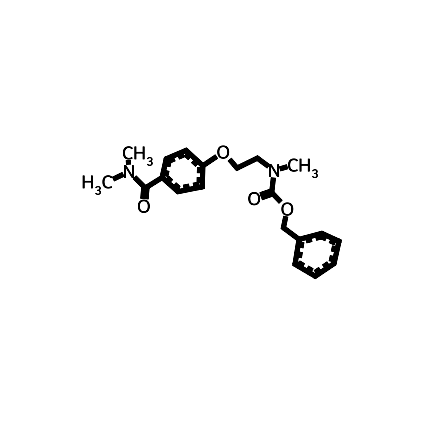 CN(C)C(=O)c1ccc(OCCN(C)C(=O)OCc2ccccc2)cc1